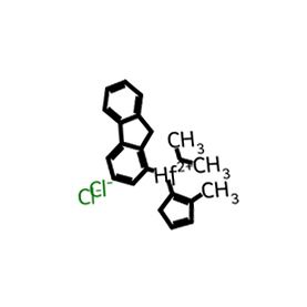 CC1=[C]([Hf+2](=[C](C)C)[c]2cccc3c2Cc2ccccc2-3)CC=C1.[Cl-].[Cl-]